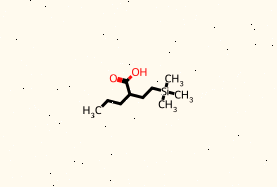 CCCC(CC[Si](C)(C)C)C(=O)O